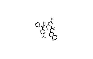 CC(C)c1ccc([C@@H](NC(=O)[C@@H]2C[C@@H](F)CN2C(=O)Cc2ccc3ncccc3c2)c2ccccc2)cc1